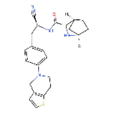 N#C[C@H](Cc1ccc(N2CCc3sccc3C2)cc1)NC(=O)[C@H]1N[C@@H]2CC[C@H]1C2